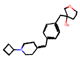 OC1(Cc2ccc(C=C3CCN(C4CCC4)CC3)cc2)CCOC1